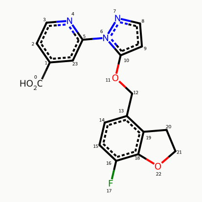 O=C(O)c1ccnc(-n2nccc2OCc2ccc(F)c3c2CCO3)c1